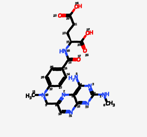 CNc1nc(N)c2nc(CN(C)c3ccc(C(=O)N[C@@H](CCC(=O)O)C(=O)O)cc3)cnc2n1